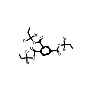 CCC(Br)(Br)OC(=O)c1ccc(C(=O)OC(Br)(Br)CC)c(C(=O)OC(Br)(Br)CC)c1